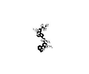 CCN(CCc1ccc2c3c1ccn3C[C@H]1C2=C[C@H](C(=O)N(CC)CC)CN1C)C(=O)[C@@H]1C=C2c3cccc4ccn(c34)C[C@H]2N(C)C1